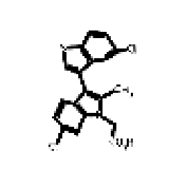 Cc1c(-c2csc3ccc(Cl)cc23)c2ccc(Cl)cc2n1CC(=O)O